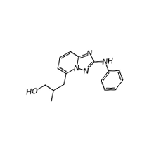 CC(CO)Cc1cccc2nc(Nc3ccccc3)nn12